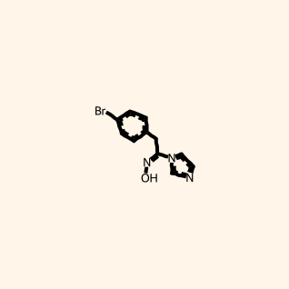 ON=C(Cc1ccc(Br)cc1)n1ccnc1